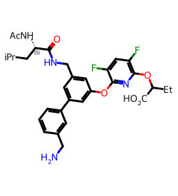 CCC(Oc1nc(Oc2cc(CNC(=O)[C@H](CC(C)C)NC(C)=O)cc(-c3cccc(CN)c3)c2)c(F)cc1F)C(=O)O